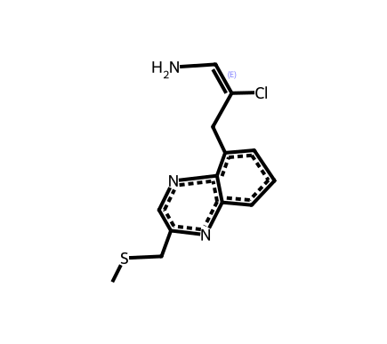 CSCc1cnc2c(C/C(Cl)=C\N)cccc2n1